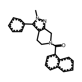 Cn1nc2c(c1-c1ccccc1)CCN(C(=O)c1cccc3ccccc13)C2